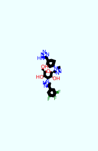 OC[C@H]1O[C@@H](c2nncn2-c2ccc(-c3nnn[nH]3)cc2)[C@H](O)[C@@H](n2cc(-c3cc(F)c(F)c(F)c3)nn2)[C@H]1O